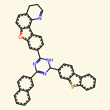 C1=Nc2c(ccc3oc4cc(C5=NC(c6ccc7ccccc7c6)=NC(c6ccc7c(c6)sc6ccccc67)N5)ccc4c23)CC1